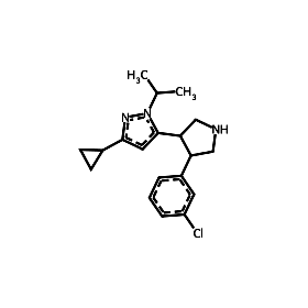 CC(C)n1nc(C2CC2)cc1C1CNCC1c1cccc(Cl)c1